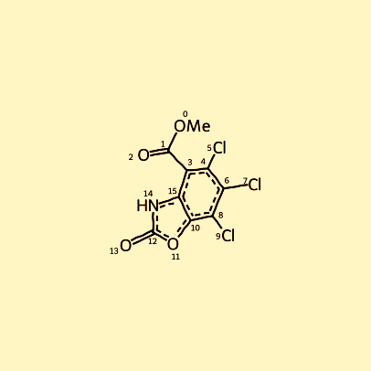 COC(=O)c1c(Cl)c(Cl)c(Cl)c2oc(=O)[nH]c12